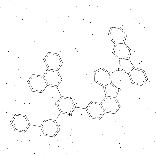 c1ccc(-c2cccc(-c3nc(-c4ccc5ccc6oc7c(-n8c9ccccc9c9cc%10ccccc%10cc98)cccc7c6c5c4)nc(-c4cc5ccccc5c5ccccc45)n3)c2)cc1